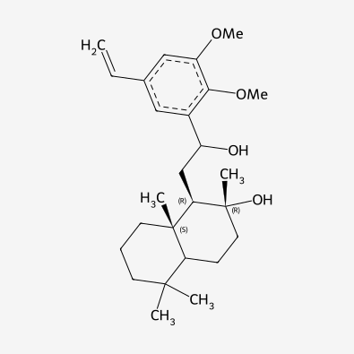 C=Cc1cc(OC)c(OC)c(C(O)C[C@@H]2[C@@]3(C)CCCC(C)(C)C3CC[C@@]2(C)O)c1